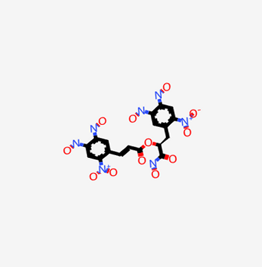 O=NC(=O)[C@H](Cc1cc(N=O)c(N=O)cc1[N+](=O)[O-])OC(=O)/C=C/c1cc(N=O)c(N=O)cc1[N+](=O)[O-]